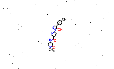 CN1CCC(NC(=O)c2ccc(-n3ncc(-c4ccc(C#N)cc4)c3O)nc2)CC1=O